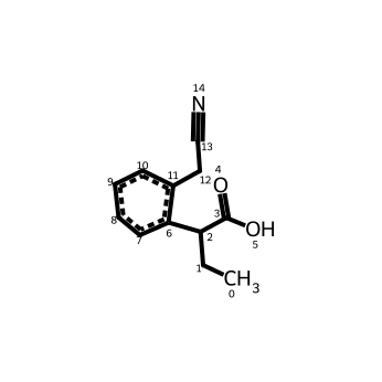 CCC(C(=O)O)c1ccccc1CC#N